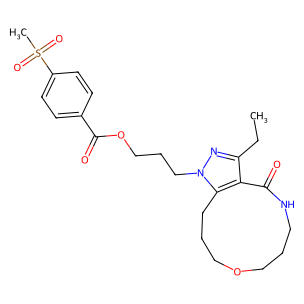 CCc1nn(CCCOC(=O)c2ccc(S(C)(=O)=O)cc2)c2c1C(=O)NCCCOCCC2